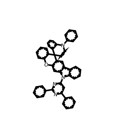 c1ccc(-c2cc(-n3c4ccccc4c4cc5c(cc43)Oc3ccccc3C53c4ccccc4N(c4ccccc4)c4ccccc43)nc(-c3ccccc3)n2)cc1